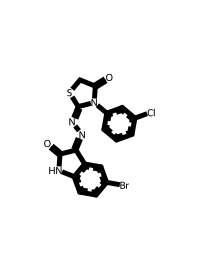 O=C1Nc2ccc(Br)cc2C1=NN=C1SCC(=O)N1c1cccc(Cl)c1